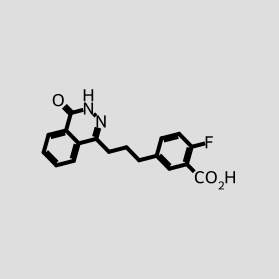 O=C(O)c1cc(CCCc2n[nH]c(=O)c3ccccc23)ccc1F